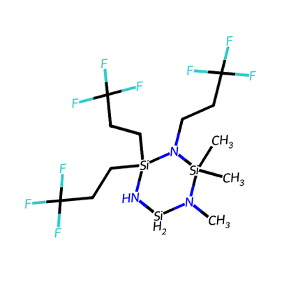 CN1[SiH2]N[Si](CCC(F)(F)F)(CCC(F)(F)F)N(CCC(F)(F)F)[Si]1(C)C